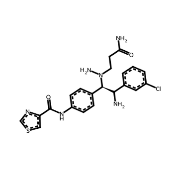 NC(=O)CCN(N)[C@H](c1ccc(NC(=O)c2cscn2)cc1)C(N)c1cccc(Cl)c1